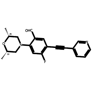 C[C@@H]1CN(c2cc(F)c(C#Cc3cccnc3)cc2C=O)C[C@H](C)O1